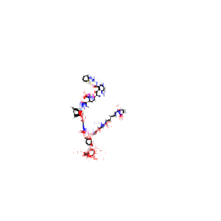 Cc1c(-c2ccc(-c3cnc4cccc(C(=O)Nc5nc6ccccc6s5)c4c3)nc2C(=O)O)cnn1CC12CC3(C)CC(C)(C1)CC(OCCCNC(=O)OCc1ccc(O[C@@H]4O[C@H](C(=O)O)[C@@H](O)[C@H](O)[C@H]4O)cc1OCCOCCNC(=O)CCCCCN1C(=O)C=CC1=O)(C3)C2